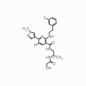 C[C@H](CNC(=O)c1cc(F)c(-c2cnn(C)c2)nc1NCCc1cccc(F)c1)NC(=O)CO